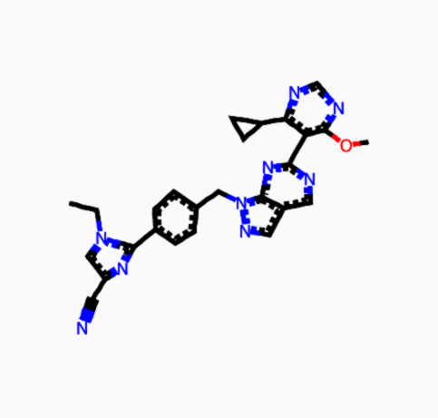 CCn1cc(C#N)nc1-c1ccc(Cn2ncc3cnc(-c4c(OC)ncnc4C4CC4)nc32)cc1